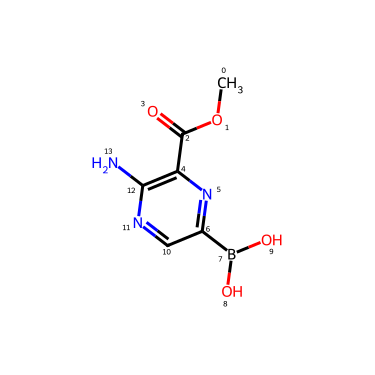 COC(=O)c1nc(B(O)O)cnc1N